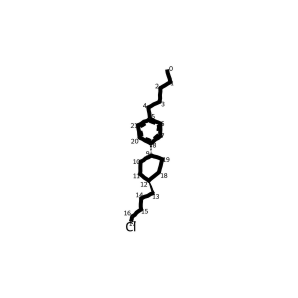 CCCCCc1ccc([C@H]2CC[C@H](CCCCCl)CC2)cc1